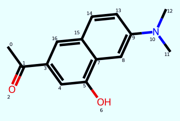 CC(=O)c1cc(O)c2cc(N(C)C)ccc2c1